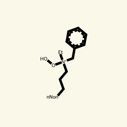 CCCCCCCCCCCC[N+](CC)(Cc1ccccc1)OO